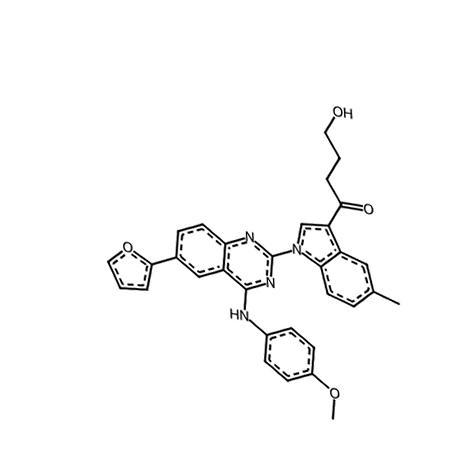 COc1ccc(Nc2nc(-n3cc(C(=O)CCCO)c4cc(C)ccc43)nc3ccc(-c4ccco4)cc23)cc1